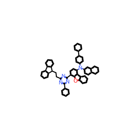 c1ccc(-c2ccc(N(c3ccc4ccccc4c3)c3ccc(-c4nc(CCC5c6ccccc6-c6ccccc65)nc(-c5ccccc5)n4)c4oc5ccccc5c34)cc2)cc1